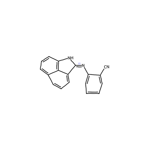 N#Cc1ccccc1/N=C1/Nc2cccc3cccc1c23